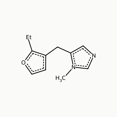 CCc1occc1Cc1cncn1C